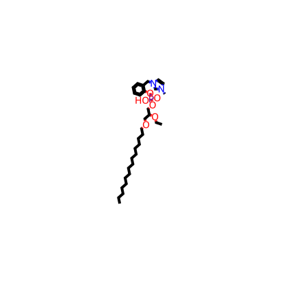 CCCCCCCCCCCCCCCCOCC(COP(=O)(O)Oc1ccccc1CN1C=CN(C)C1)OCC